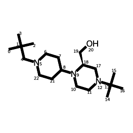 CC(C)(C)CN1CCC(N2CCN(C(C)(C)C)C[C@@H]2CO)CC1